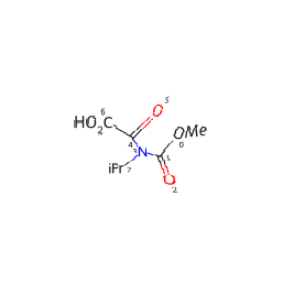 COC(=O)N(C(=O)C(=O)O)C(C)C